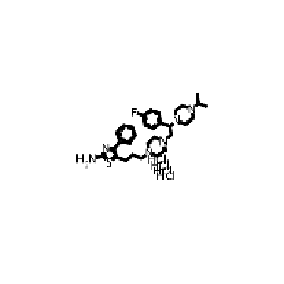 CC(C)N1CCN(C(CN2CCN(CCCc3sc(N)nc3-c3ccccc3)CC2)c2ccc(F)cc2)CC1.Cl.Cl.Cl.Cl